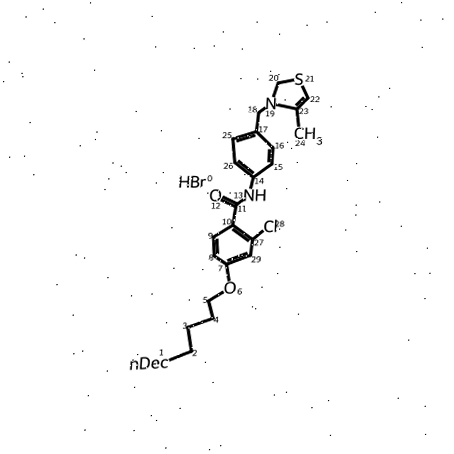 Br.CCCCCCCCCCCCCCOc1ccc(C(=O)Nc2ccc(CN3CSC=C3C)cc2)c(Cl)c1